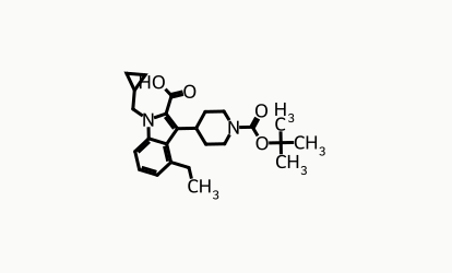 CCc1cccc2c1c(C1CCN(C(=O)OC(C)(C)C)CC1)c(C(=O)O)n2CC1CC1